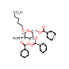 CC(=O)N[C@H]1[C@H](OCCCCC(=O)O)O[C@H](COC(=O)c2ccccc2)[C@H](OC(=O)c2ccccc2)[C@@H]1OC(=O)c1ccccc1